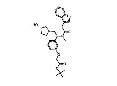 CN(C(=O)Cc1coc2ccccc12)[C@H](CN1CC[C@H](O)C1)c1cccc(OCC(=O)OC(C)(C)C)c1